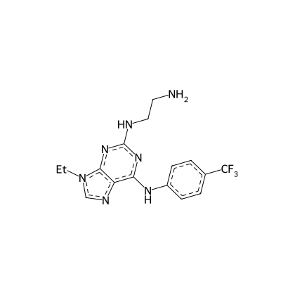 CCn1cnc2c(Nc3ccc(C(F)(F)F)cc3)nc(NCCN)nc21